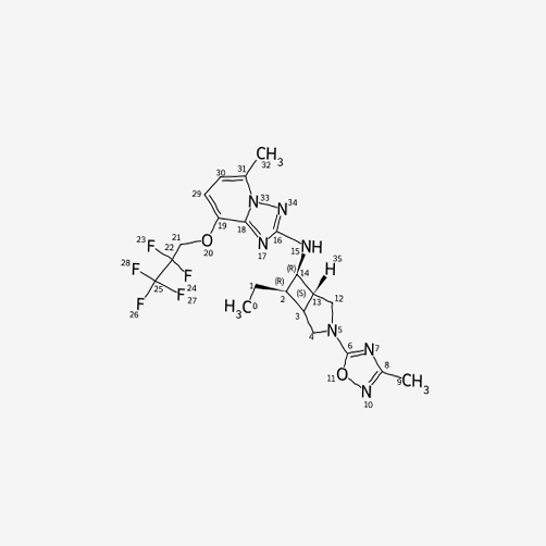 CC[C@@H]1C2CN(c3nc(C)no3)C[C@H]2[C@@H]1Nc1nc2c(OCC(F)(F)C(F)(F)F)ccc(C)n2n1